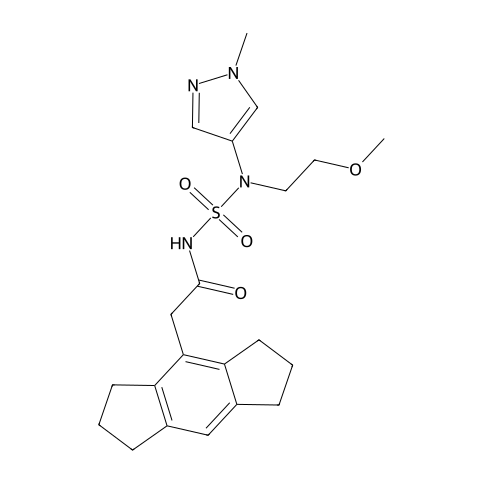 COCCN(c1cnn(C)c1)S(=O)(=O)NC(=O)Cc1c2c(cc3c1CCC3)CCC2